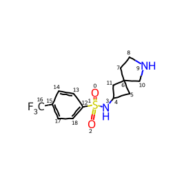 O=S(=O)(NC1CC2(CCNC2)C1)c1ccc(C(F)(F)F)cc1